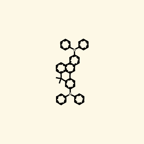 CC1(C)c2cc(N(c3ccccc3)c3ccccc3)ccc2-c2cc3ccc(N(c4ccccc4)c4ccccc4)cc3c3cccc1c23